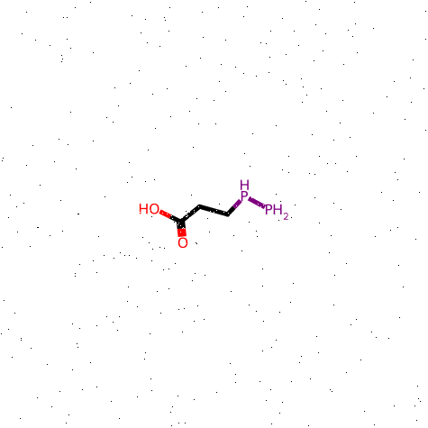 O=C(O)CCPP